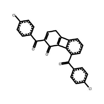 O=C1C(C(=O)c2ccc(Cl)cc2)=CCC2=C1c1c(C(=O)c3ccc(Cl)cc3)cccc12